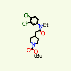 CCN(C(=O)CC1CCN(C(=O)OC(C)(C)C)CC1)c1ccc(Cl)c(Cl)c1